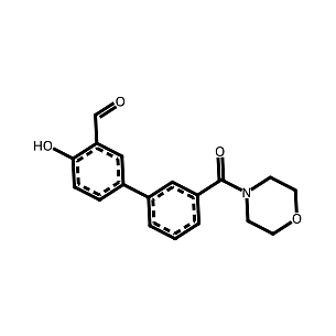 O=Cc1cc(-c2cccc(C(=O)N3CCOCC3)c2)ccc1O